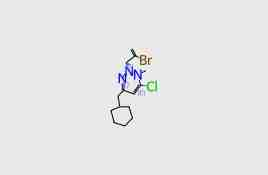 C=C(Br)/C=N\N(C)/C(Cl)=C\C(CC1CCCCC1)=N/C